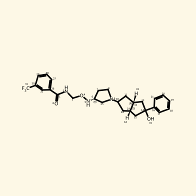 O=C(NCON[C@@H]1CCN(C2C[C@@H]3CC(O)(c4ccccc4)C[C@@H]3C2)C1)c1cccc(C(F)(F)F)c1